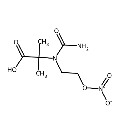 CC(C)(C(=O)O)N(CCO[N+](=O)[O-])C(N)=O